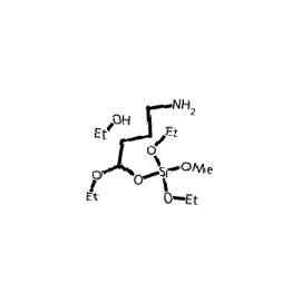 CCO.CCOC(CCCN)O[Si](OC)(OCC)OCC